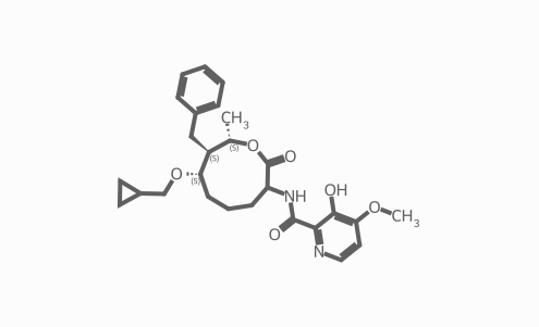 COc1ccnc(C(=O)NC2CCC[C@H](OCC3CC3)[C@@H](Cc3ccccc3)[C@H](C)OC2=O)c1O